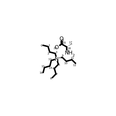 CCCC[N+](CCCC)(CCCC)CCCC.C[C@H](N)C(=O)[O-]